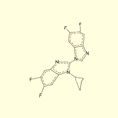 Fc1cc2ncn(-c3nc4cc(F)c(F)cc4n3C3CC3)c2cc1F